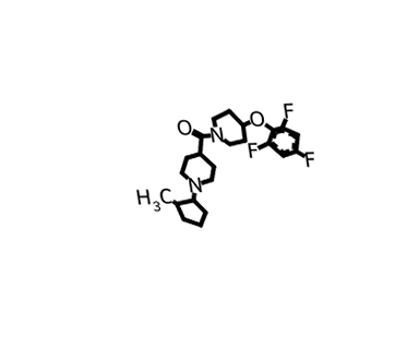 CC1CCCC1N1CCC(C(=O)N2CCC(Oc3c(F)cc(F)cc3F)CC2)CC1